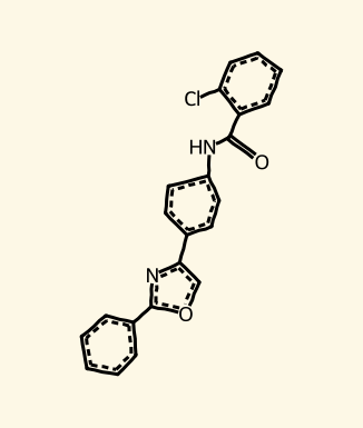 O=C(Nc1ccc(-c2coc(-c3ccccc3)n2)cc1)c1ccccc1Cl